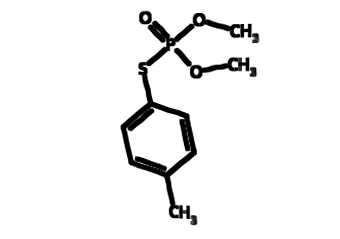 COP(=O)(OC)Sc1ccc(C)cc1